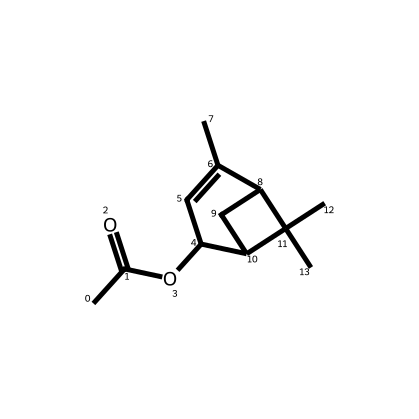 CC(=O)OC1C=C(C)C2CC1C2(C)C